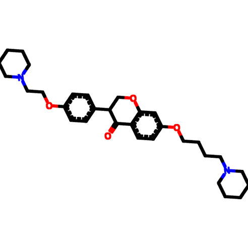 O=C1c2ccc(OCCCCN3CCCCC3)cc2OCC1c1ccc(OCCN2CCCCC2)cc1